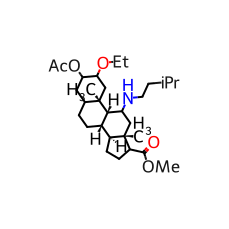 CCOC1C[C@@]2(C)C(CC[C@@H]3[C@H]2C(NCCC(C)C)C[C@]2(C)C(C(=O)OC)CC[C@@H]32)CC1OC(C)=O